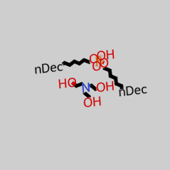 CCCCCCCCCCCCCCCCOP(=O)(O)OCCCCCCCCCCCCCCCC.OCCN(CCO)CCO